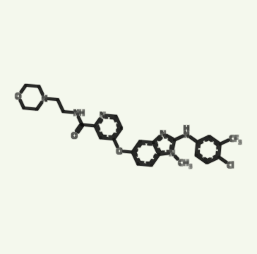 Cn1c(Nc2ccc(Cl)c(C(F)(F)F)c2)nc2cc(Oc3ccnc(C(=O)NCCN4CCOCC4)c3)ccc21